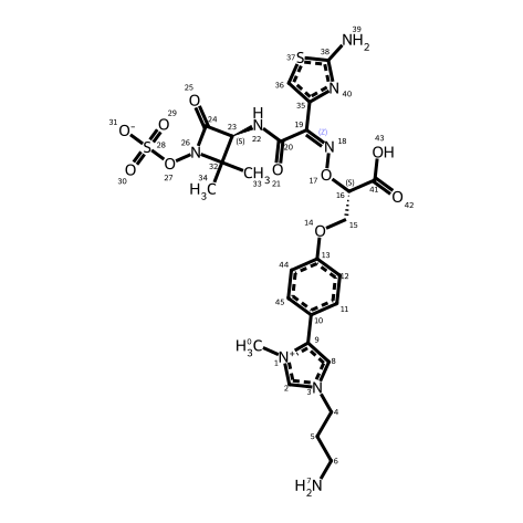 C[n+]1cn(CCCN)cc1-c1ccc(OC[C@H](O/N=C(\C(=O)N[C@@H]2C(=O)N(OS(=O)(=O)[O-])C2(C)C)c2csc(N)n2)C(=O)O)cc1